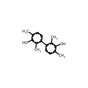 Cc1ccc(-c2ccc(C)c(O)c2C)c(C)c1O